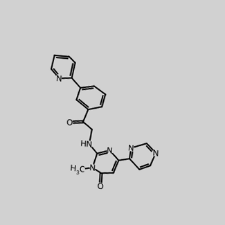 Cn1c(NCC(=O)c2cccc(-c3ccccn3)c2)nc(-c2ccncn2)cc1=O